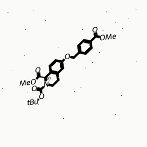 COC(=O)c1ccc(COc2ccc3c(c2)CCN(C(=O)OC(C)(C)C)[C@H]3C(=O)OC)cc1